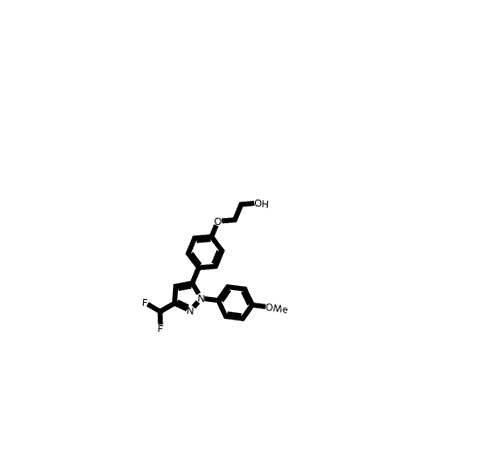 COc1ccc(-n2nc(C(F)F)cc2-c2ccc(OCCO)cc2)cc1